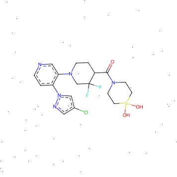 O=C(C1CCN(c2cnccc2-n2cc(Cl)cn2)CC1(F)F)N1CCS(O)(O)CC1